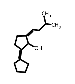 CC(C)CC=C1CCC(=C2CCCC2)C1O